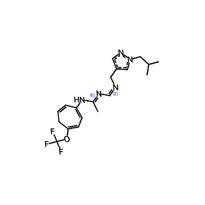 C/C(=N\C=N/Cc1cnn(CC(C)C)c1)NC1=CC=C(OC(F)(F)F)CC=C1